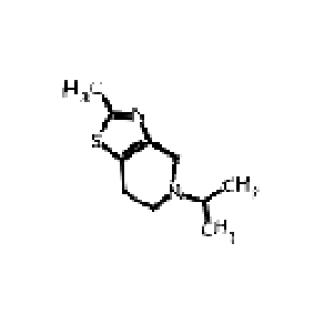 Cc1nc2c(s1)CCN(C(C)C)C2